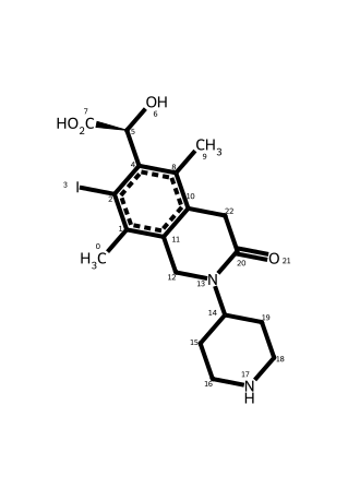 Cc1c(I)c([C@H](O)C(=O)O)c(C)c2c1CN(C1CCNCC1)C(=O)C2